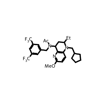 CCC1CC(N(Cc2cc(C(F)(F)F)cc(C(F)(F)F)c2)C(C)=O)c2nc(OC)ccc2N1CC1CCCC1